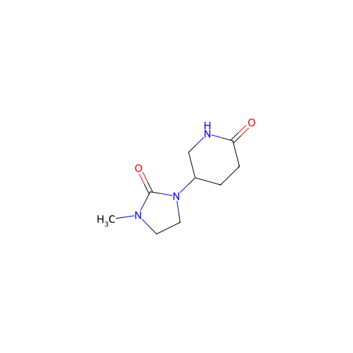 CN1CCN(C2CCC(=O)NC2)C1=O